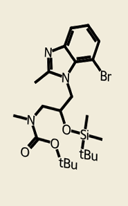 Cc1nc2cccc(Br)c2n1CC(CN(C)C(=O)OC(C)(C)C)O[Si](C)(C)C(C)(C)C